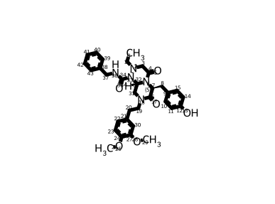 CCN1CC(=O)N2[C@@H](Cc3ccc(O)cc3)C(=O)N(CCc3ccc(OC)c(OC)c3)C[C@@H]2N1C(=O)NCc1ccccc1